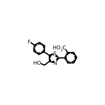 O=C(O)c1ccccc1-c1nc(CO)c(-c2ccc(F)cc2)s1